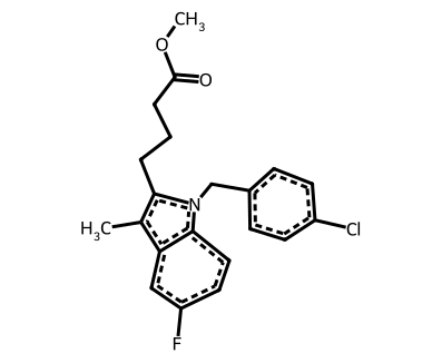 COC(=O)CCCc1c(C)c2cc(F)ccc2n1Cc1ccc(Cl)cc1